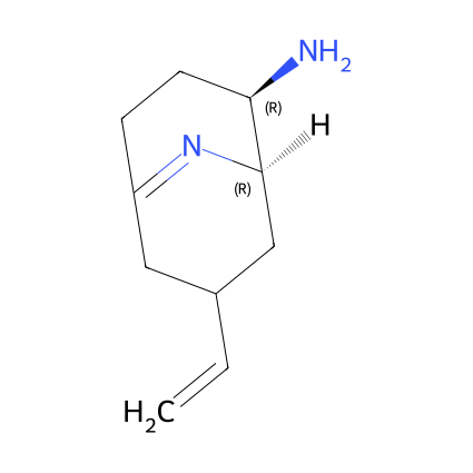 C=CC1CC2=N[C@H](C1)[C@H](N)CC2